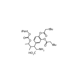 CCCC(C)OC(=O)OC(C)C(C)C(c1ccc(OC(=O)CC(C)(C)C)c(OC(=O)CC(C)(C)C)c1)[C@H](N)C(=O)O